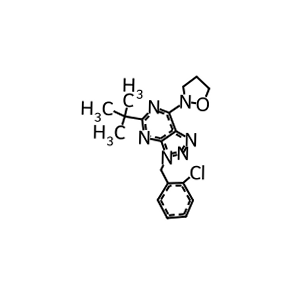 CC(C)(C)c1nc(N2CCCO2)c2nnn(Cc3ccccc3Cl)c2n1